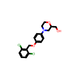 OCC1CN(c2ccc(OCc3c(Cl)cccc3Cl)cc2)CCO1